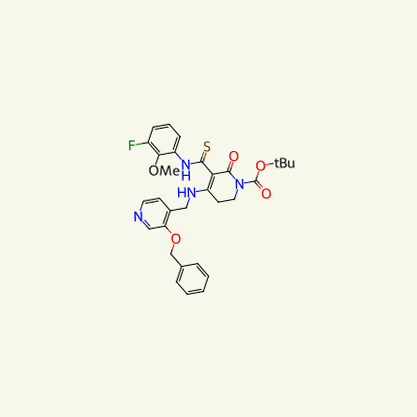 COc1c(F)cccc1NC(=S)C1=C(NCc2ccncc2OCc2ccccc2)CCN(C(=O)OC(C)(C)C)C1=O